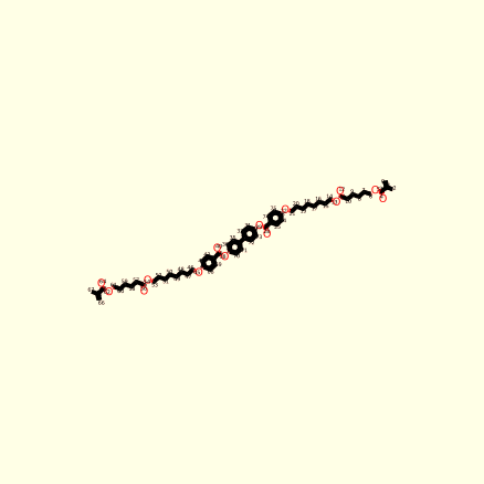 C=C(C)C(=O)OCCCCCC(=O)OCCCCCCCCOc1ccc(C(=O)Oc2ccc(-c3ccc(OC(=O)c4ccc(OCCCCCCCCOC(=O)CCCCCOC(=O)C(=C)C)cc4)cc3)cc2)cc1